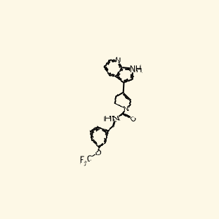 O=C(NCc1cccc(OC(F)(F)F)c1)N1CC=C(c2c[nH]c3ncccc23)CC1